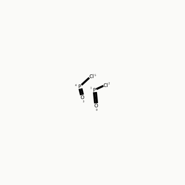 O=PCl.O=PCl